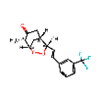 C[C@@H]1C(=O)C[C@H]2C[C@@H]1OO[C@@]2(C)C=Cc1cccc(C(F)(F)F)c1